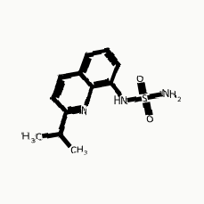 CC(C)c1ccc2cccc(NS(N)(=O)=O)c2n1